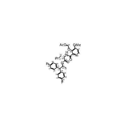 COc1ccnc(C(=O)N[C@@H](CC(C)C)C(=O)O[C@@H](C)C(c2ccc(F)cc2)c2ccc(F)cc2)c1OCOC(C)=O